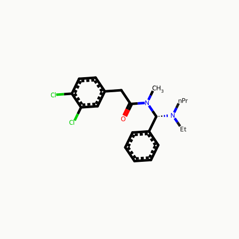 CCCN(CC)[C@H](c1ccccc1)N(C)C(=O)Cc1ccc(Cl)c(Cl)c1